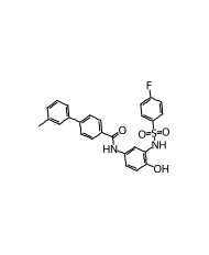 Cc1cccc(-c2ccc(C(=O)Nc3ccc(O)c(NS(=O)(=O)c4ccc(F)cc4)c3)cc2)c1